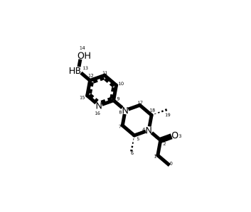 CCC(=O)N1[C@H](C)CN(c2ccc(BO)cn2)C[C@@H]1C